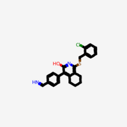 N=Cc1ccc(-c2c(O)nc(SCc3ccccc3Cl)c3c2CCCC3)cc1